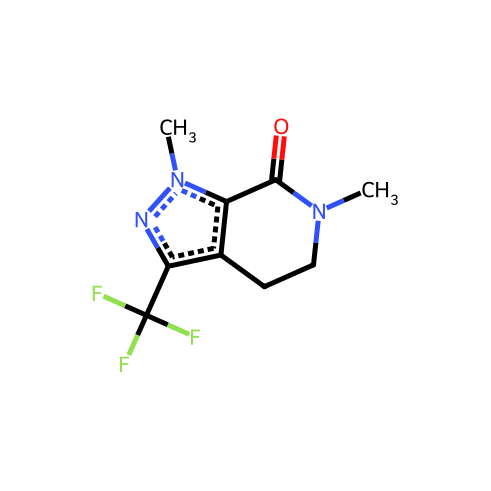 CN1CCc2c(C(F)(F)F)nn(C)c2C1=O